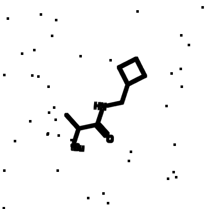 CC(C(=O)NCC1CCC1)C(C)(C)C